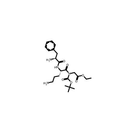 CCOC(=O)CN(C(=O)OC(C)(C)C)C(=O)[C@H](CCCN)NC(=O)[C@@H](N)Cc1ccccc1